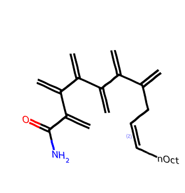 C=C(C/C=C\CCCCCCCC)C(=C)C(=C)C(=C)C(=C)C(=C)C(N)=O